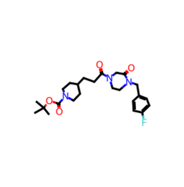 CC(C)(C)OC(=O)N1CCC(CCC(=O)N2CCN(Cc3ccc(F)cc3)C(=O)C2)CC1